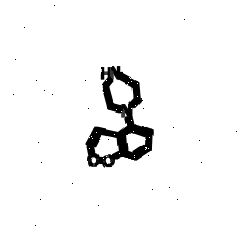 C1=Cc2c(cccc2N2CCNCC2)OO1